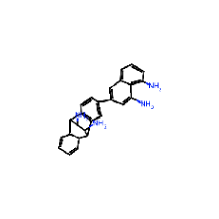 Nc1cccc2cc(-c3ccc4c(c3)C3C(N)C(N)C4C4C=CC=CC43)cc(N)c12